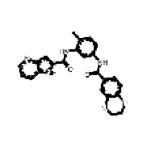 Cc1ccc(NC(=O)c2ccc3c(c2)OCCO3)cc1NC(=O)c1cc2ncccc2[nH]1